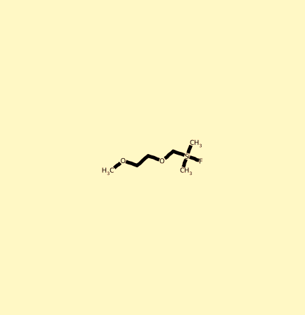 COCCOC[Si](C)(C)F